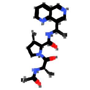 CC(C)[C@H]1CCN(C(=O)[C@@H](NC(=O)C(F)(F)F)C(C)(C)C)[C@@H]1C(=O)NC(C#N)c1cncc2cccnc12